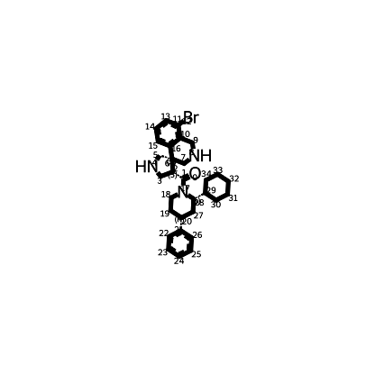 O=C([C@@H]1CNC[C@]12CNCc1c(Br)cccc12)N1CC[C@@H](c2ccccc2)C[C@H]1C1CCCCC1